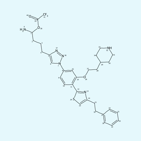 NC(CCCc1cn(-c2ccc(-c3nc(CCc4ccccc4)cs3)c(OCCC3CCNCC3)c2)nn1)OC(=O)C(F)(F)F